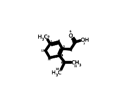 CC1=CC(CC(=O)O)=C(C(C)C)CC1